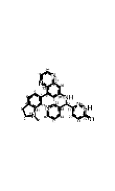 CN1CCc2ccc(-c3cc(NC(c4cccnc4)c4ccc(=O)[nH]n4)cc4nccnc34)cc21